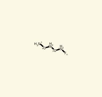 F[SiH2]O[SiH2]O[SiH3]